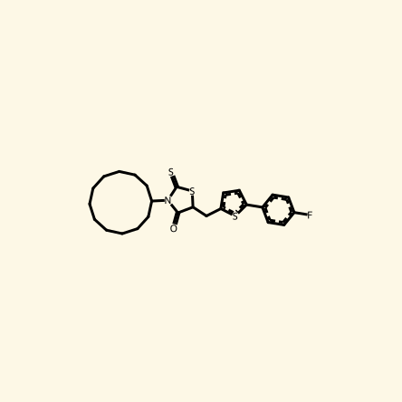 O=C1C(Cc2ccc(-c3ccc(F)cc3)s2)SC(=S)N1C1CCCCCCCCCCC1